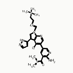 CN(C)C(=O)c1cc(-c2cnc3c(c(-c4ccn[nH]4)cn3COCC[Si](C)(C)C)c2Cl)cnc1N